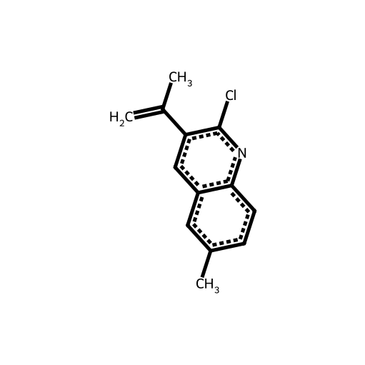 C=C(C)c1cc2cc(C)ccc2nc1Cl